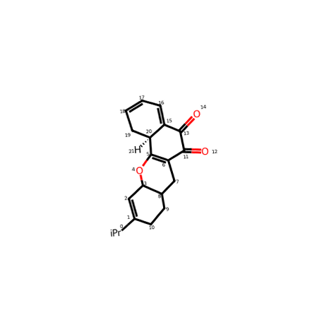 CC(C)C1=CC2OC3=C(CC2CC1)C(=O)C(=O)C1=CC=CC[C@@H]13